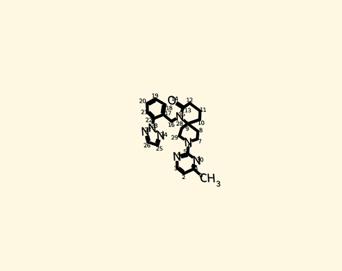 Cc1ccnc(N2CCC3(CCCC(=O)N3Cc3ccccc3-n3nccn3)CC2)n1